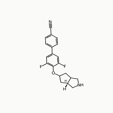 N#Cc1ccc(-c2cc(F)c(OC3CC4CNC[C@@H]4C3)c(F)c2)cc1